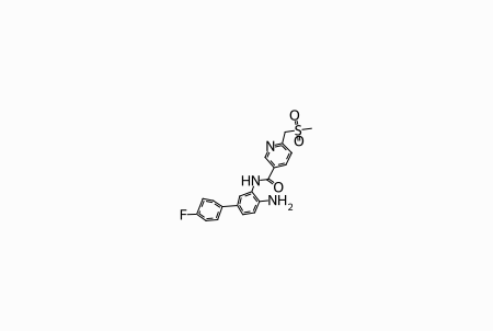 CS(=O)(=O)Cc1ccc(C(=O)Nc2cc(-c3ccc(F)cc3)ccc2N)cn1